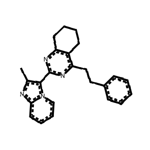 Cc1nc2ccccn2c1-c1nc2c(c(CCc3ccccc3)n1)CCCC2